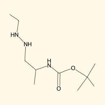 CCNNCC(C)NC(=O)OC(C)(C)C